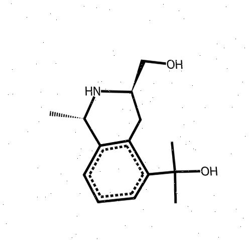 C[C@@H]1N[C@@H](CO)Cc2c1cccc2C(C)(C)O